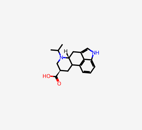 CC(C)N1C[C@H](C(=O)O)CC2c3cccc4[nH]cc(c34)C[C@H]21